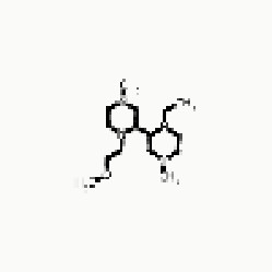 CCN1CCN(C)CC1C1CN(C)CCN1CCOC